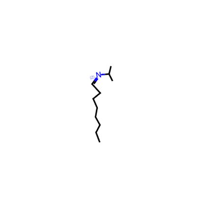 CCCCCCC/C=N\C(C)C